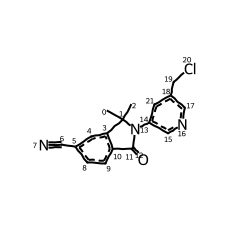 CC1(C)c2cc(C#N)ccc2C(=O)N1c1cncc(CCl)c1